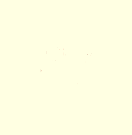 CC(CO)C(O)CO[N+](=O)[O-].O=[N+]([O-])O.O=[N+]([O-])O